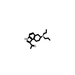 CCCN(CCC)C1CCc2c(ccc3[nH]cc(C(C)=O)c23)C1